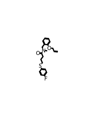 C=CCOc1ccccc1CN(C)C(=O)CCCSc1ccc(F)cc1